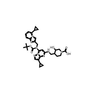 CC(C)(C)OC(=O)N(Cc1cn2c(C3CC3)cccc2n1)c1cc(NCC2CCN(C(=O)O)CC2O)nc2c(C3CC3)cnn12